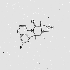 C=CCN1C(=O)C(C)(CO)N(C)CC1(C)c1cc(F)cc(F)c1